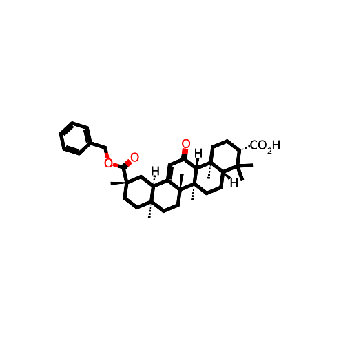 CC1(C)[C@@H](C(=O)O)CC[C@]2(C)[C@H]3C(=O)C=C4[C@@H]5C[C@@](C)(C(=O)OCc6ccccc6)CC[C@]5(C)CC[C@@]4(C)[C@]3(C)CC[C@@H]12